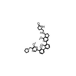 COc1nc(-c2cccc(-c3cccc(-c4cc5c(c(OC)n4)C(NCC4CCC(=O)N4)CC5)c3Cl)c2Cl)cnc1CN1CCCC1